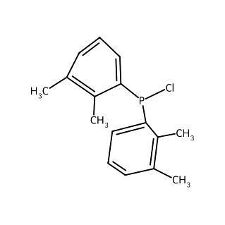 Cc1cccc(P(Cl)c2cccc(C)c2C)c1C